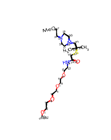 CCCCOCCOCCOCCOCCNC(=O)CSC(C)(C)CN1CCN(CCOC)CC1